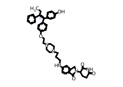 CC/C(=C(\c1ccc(O)cc1)c1ccc(OCCN2CCN(CCCNc3ccc4c(c3)CN(C3CCC(=O)NC3=O)C4=O)CC2)cc1)c1ccccc1